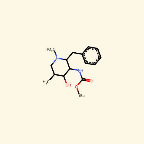 CC1CN(C(=O)O)C(Cc2ccccc2)C(NC(=O)OC(C)(C)C)C1O